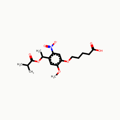 COc1cc(C(C)OC(=O)C(C)C)c([N+](=O)[O-])cc1OCCCCC(=O)O